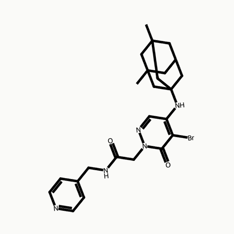 CC12CC3CC(C)(C1)CC(Nc1cnn(CC(=O)NCc4ccncc4)c(=O)c1Br)(C3)C2